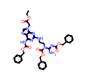 CCOC(=O)Cn1cnc2c(NC(=O)OCc3ccccc3)nc(NCCN(C(=O)OCc3ccccc3)C(N)=NC(=O)OCc3ccccc3)nc21